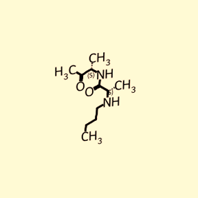 CCCCN[C@@H](C)C(=O)N[C@@H](C)C(C)=O